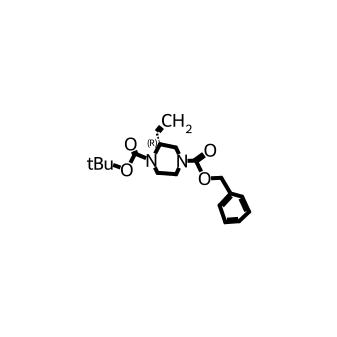 C=C[C@@H]1CN(C(=O)OCc2ccccc2)CCN1C(=O)OC(C)(C)C